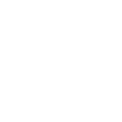 CC(=O)O[C@H]1C(=O)c2ccc3c(nc(C)n3C3CC3)c2O[C@@H]1c1ccccc1